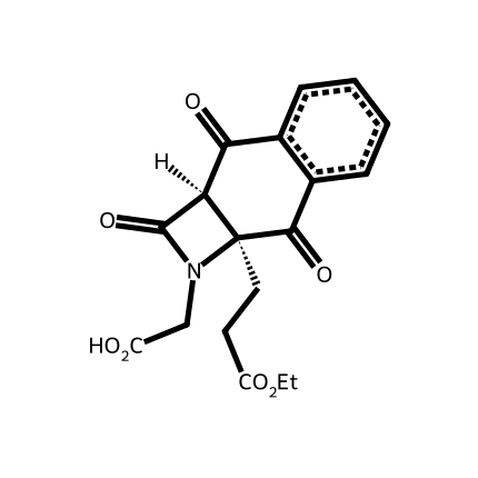 CCOC(=O)CC[C@@]12C(=O)c3ccccc3C(=O)[C@@H]1C(=O)N2CC(=O)O